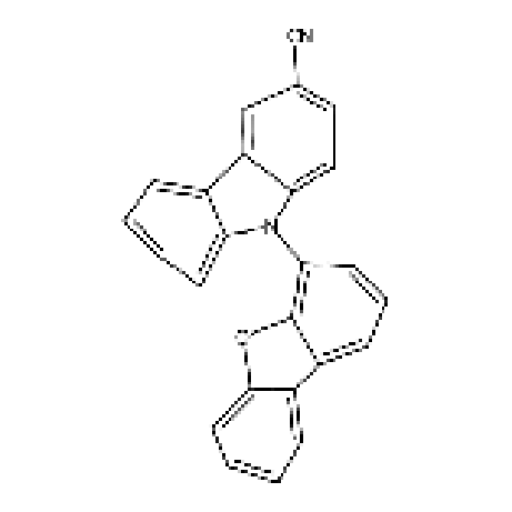 N#Cc1ccc2c(c1)c1ccccc1n2-c1cccc2c1oc1ccccc12